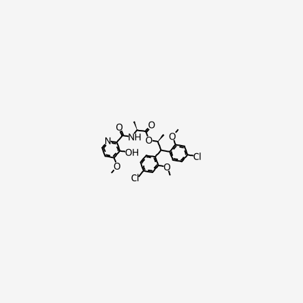 COc1cc(Cl)ccc1C(c1ccc(Cl)cc1OC)[C@H](C)OC(=O)[C@H](C)NC(=O)c1nccc(OC)c1O